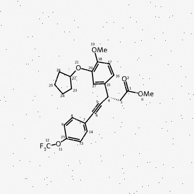 COC(=O)C[C@H](C#Cc1ccc(OC(F)(F)F)cc1)c1ccc(OC)c(OC2CCCC2)c1